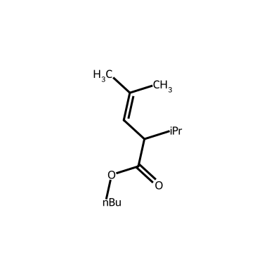 CCCCOC(=O)C(C=C(C)C)C(C)C